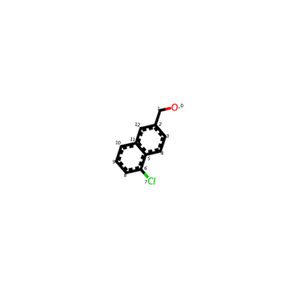 [O]Cc1ccc2c(Cl)cccc2c1